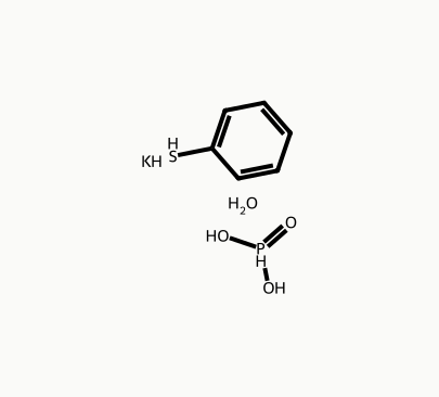 O.O=[PH](O)O.Sc1ccccc1.[KH]